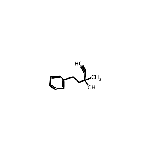 C#CC(C)(O)CCc1ccccc1